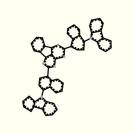 c1ccc2c(c1)-c1nc(-c3ccc(-n4c5ccccc5c5ccccc54)c4ccccc34)nc3nc(-c4ccc(-n5c6ccccc6c6ccccc65)c5ccccc45)nc-2c13